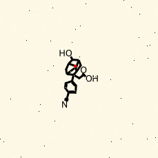 N#Cc1ccc(C2(CC(=O)O)C3CC4CC2CC(C3)C4O)cc1